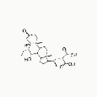 CC[C@H]1[C@@H](O)C2C3CCC([C@H](C)CC(C(=O)O)C(=O)O)[C@@]3(C)CCC2[C@@]2(C)CCC(=O)C[C@@H]12